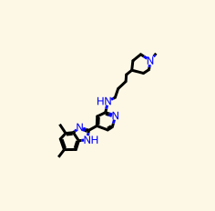 Cc1cc(C)c2nc(-c3ccnc(NCCCCC4CCN(C)CC4)c3)[nH]c2c1